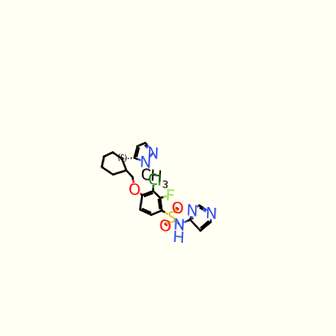 Cn1nccc1[C@H]1CCCCC1COc1ccc(S(=O)(=O)Nc2ccncn2)c(F)c1Cl